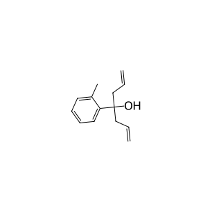 C=CCC(O)(CC=C)c1ccccc1C